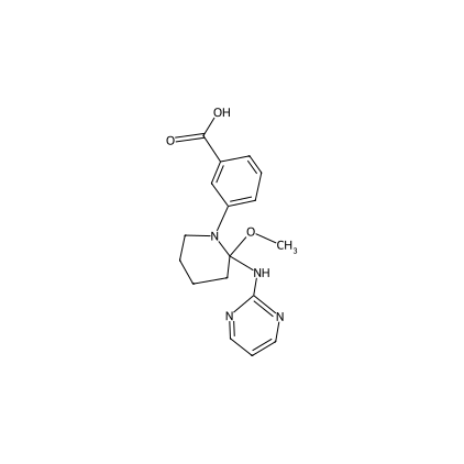 COC1(Nc2ncccn2)CCCCN1c1cccc(C(=O)O)c1